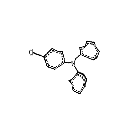 Clc1ccc(N(c2ccccc2)c2ccccc2)cc1